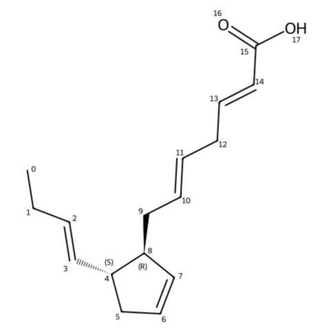 CCC=C[C@H]1CC=C[C@@H]1CC=CCC=CC(=O)O